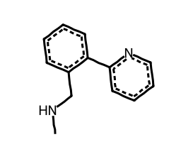 CNCc1ccccc1-c1ccccn1